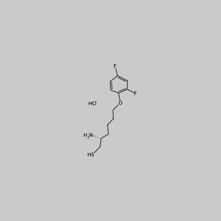 Cl.N[C@@H](CS)CCCCOc1ccc(F)cc1F